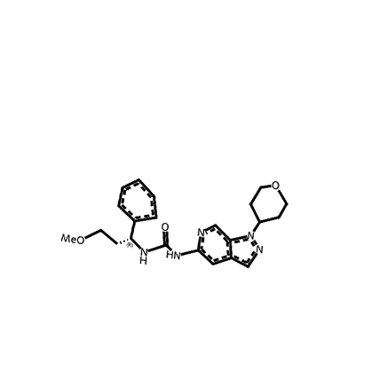 COCC[C@@H](NC(=O)Nc1cc2cnn(C3CCOCC3)c2cn1)c1ccccc1